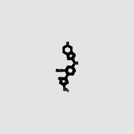 COc1cc(Nc2nc3c(s2)CNCC3)ccc1-c1nc(C)c[nH]1